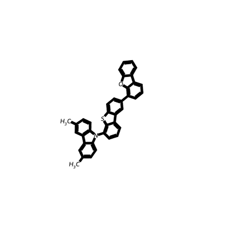 Cc1ccc2c(c1)c1cc(C)ccc1n2-c1cccc2c1sc1ccc(-c3cccc4c3oc3ccccc34)cc12